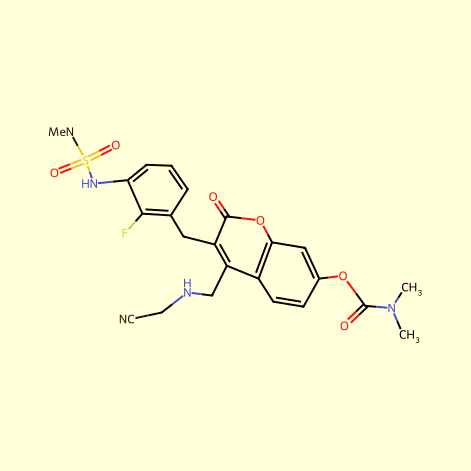 CNS(=O)(=O)Nc1cccc(Cc2c(CNCC#N)c3ccc(OC(=O)N(C)C)cc3oc2=O)c1F